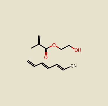 C=C(C)C(=O)OCCO.C=CC=CC=CC#N